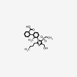 CCCCc1nc(CO)c(S(=O)(=O)CC)n1-c1cccc(-c2ccccc2C(=O)O)c1C